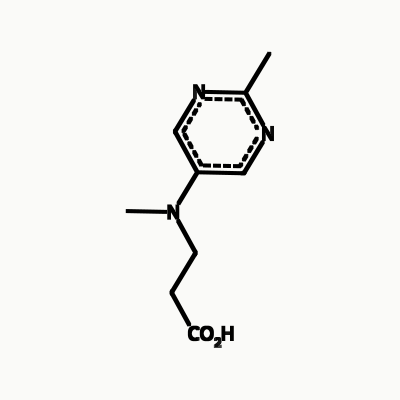 Cc1ncc(N(C)CCC(=O)O)cn1